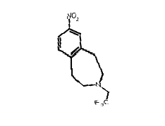 O=[N+]([O-])c1ccc2c(c1)CCN(CC(F)(F)F)CC2